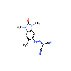 Cc1cc2c(cc1NN=C(C#N)C#N)n(C)c(=O)n2C